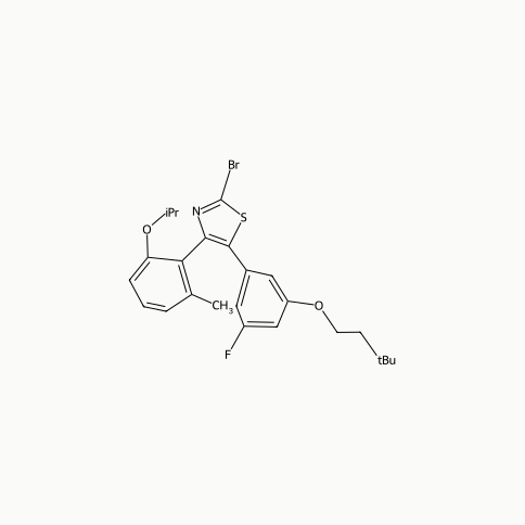 Cc1cccc(OC(C)C)c1-c1nc(Br)sc1-c1cc(F)cc(OCCC(C)(C)C)c1